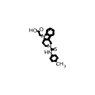 Cc1ccc(NC(=S)N2CCc3c(c4ccccc4n3CC(=O)O)C2)cc1